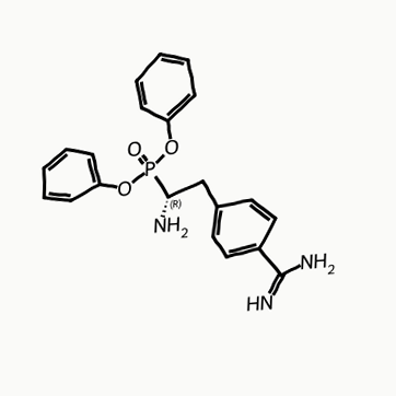 N=C(N)c1ccc(C[C@H](N)P(=O)(Oc2ccccc2)Oc2ccccc2)cc1